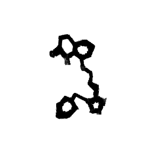 O=C1CCc2cccc(OCCCc3nnnn3Cc3ccccc3)c2N1